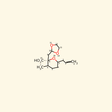 C=CCC1CCC(C)[C@](CC2OCCO2)(C(=O)O)O1